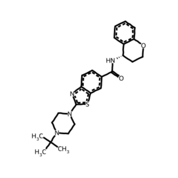 CC(C)(C)N1CCN(c2nc3ccc(C(=O)N[C@H]4CCOc5ccccc54)cc3s2)CC1